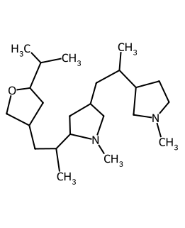 CC(C)C1CC(CC(C)C2CC(CC(C)C3CCN(C)C3)CN2C)CO1